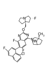 C[C@]12CCC(CN(c3nc(OC[C@@]45CCCN4C[C@H](F)C5)nc4c(F)c(-c5cc(F)cc6cccc(Cl)c56)c(F)cc34)C1)N2